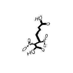 O=C(O)CCCC(C(C(=O)O)[N+](=O)[O-])[N+](=O)[O-]